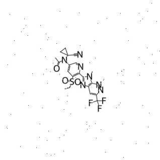 CCS(=O)(=O)c1cc(N(C(C)=O)C2(C#N)CC2)cnc1-c1nc2cc(C(F)(F)F)nnc2n1C